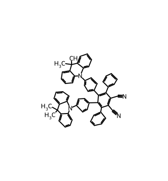 CC1(C)c2ccccc2N(c2ccc(-c3c(-c4ccccc4)c(C#N)c(C#N)c(-c4ccccc4)c3-c3ccc(N4c5ccccc5C(C)(C)c5ccccc54)cc3)cc2)c2ccccc21